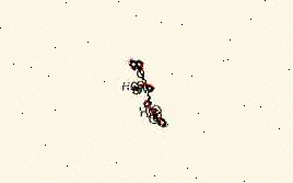 O=C(O)Oc1[nH]c2c(/C=C/c3cccc(C(=O)NS(=O)(=O)c4ccccc4)c3)cccc2c1CCCOc1cccc2ccccc12